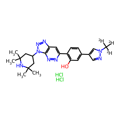 Cl.Cl.[2H]C([2H])([2H])n1cc(-c2ccc(-c3cc4nnn(C5CC(C)(C)NC(C)(C)C5)c4nn3)c(O)c2)cn1